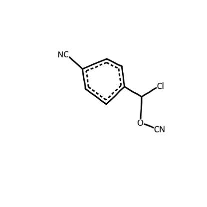 N#COC(Cl)c1ccc(C#N)cc1